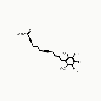 COC(=O)C#CCCCC#CCCCCc1c(C)c(O)c(C)c(C)c1OC(C)=O